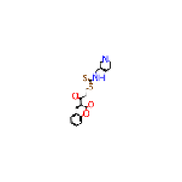 O=C(CCSC(=S)NCc1cccnc1)c1cc2ccccc2oc1=O